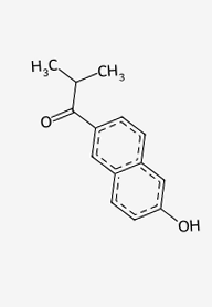 CC(C)C(=O)c1ccc2cc(O)ccc2c1